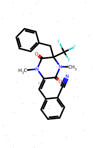 CN1C(=O)C(Cc2ccccc2)(C(F)(F)F)N(C)C(=O)/C1=C\c1ccccc1C#N